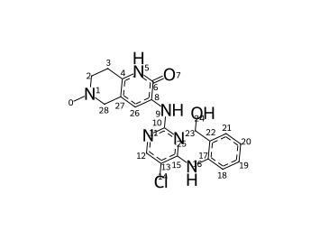 CN1CCc2[nH]c(=O)c(Nc3ncc(Cl)c(Nc4ccccc4CO)n3)cc2C1